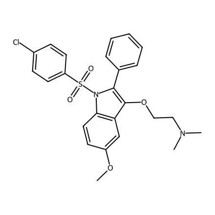 COc1ccc2c(c1)c(OCCN(C)C)c(-c1ccccc1)n2S(=O)(=O)c1ccc(Cl)cc1